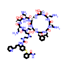 CNC(=O)c1ccccc1Sc1ccc2c(/C=C/c3ccccn3)nn(C(=O)N(C)CCN(C)C(=O)CCC(=O)N[C@@H](CCN)C(=O)N[C@H](C(=O)N[C@@H](CCN)C(=O)N[C@H]3CCNC(=O)[C@H]([C@@H](C)O)NC(=O)[C@H](CCN)NC(=O)[C@H](CCN)NC(=O)[C@H](CC(C)C)NC(=O)[C@@H](Cc4ccccc4)NC(=O)[C@H](CCN)NC3=O)[C@@H](C)O)c2c1